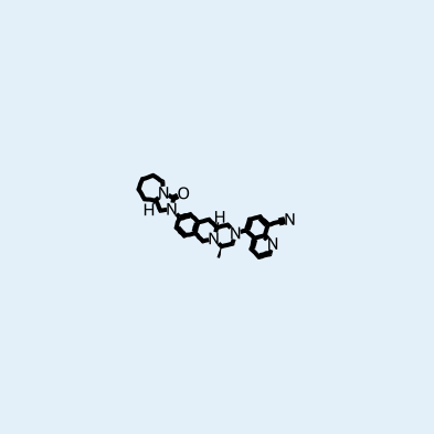 C[C@@H]1CN(c2ccc(C#N)c3ncccc23)C[C@@H]2Cc3cc(N4C[C@H]5CCCCCN5C4=O)ccc3CN21